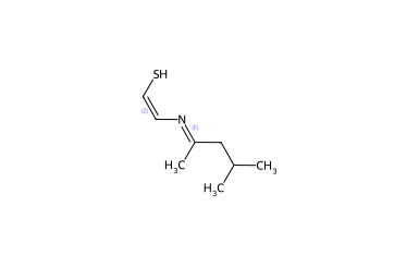 C/C(CC(C)C)=N\C=C/S